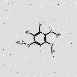 CCCOc1cc(OC(=O)O)c(O)c(C(C)C)c1OCCC